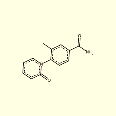 Cc1cc(C(N)=O)ccc1-n1ccccc1=O